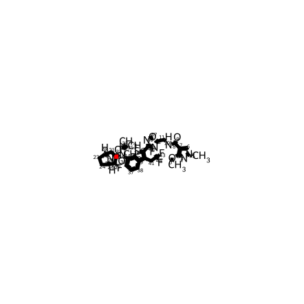 COc1nn(C)cc1C(=O)NCc1nc(-c2sc3c(N[C@@H]4C[C@H]5CC[C@@H]([C@@H]4F)N5C(=O)OC(C)(C)C)cccc3c2CC(F)(F)F)no1